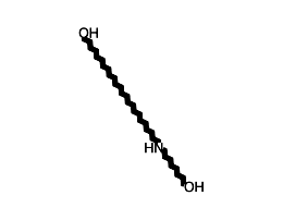 OCCCCCCCCCCCCCCCCCCCCCCCCNCCCCCCCCO